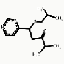 CC(C)CSC(CC(=O)C(C)C)c1ccncn1